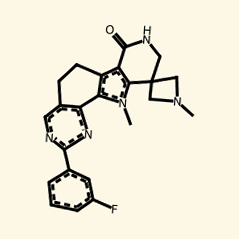 CN1CC2(CNC(=O)c3c4c(n(C)c32)-c2nc(-c3cccc(F)c3)ncc2CC4)C1